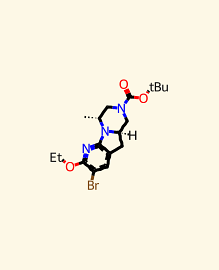 CCOc1nc2c(cc1Br)C[C@@H]1CN(C(=O)OC(C)(C)C)C[C@@H](C)N21